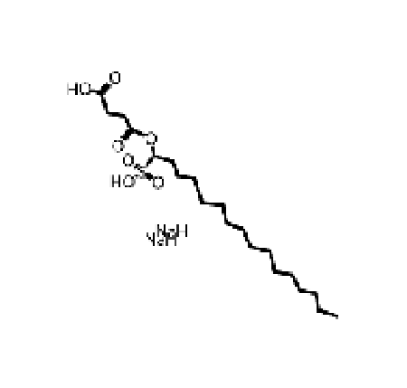 CCCCCCCCCCCCCCCC(OC(=O)CCC(=O)O)S(=O)(=O)O.[NaH].[NaH]